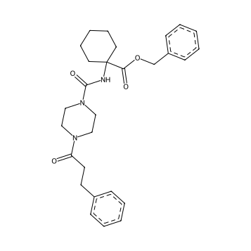 O=C(CCc1ccccc1)N1CCN(C(=O)NC2(C(=O)OCc3ccccc3)CCCCC2)CC1